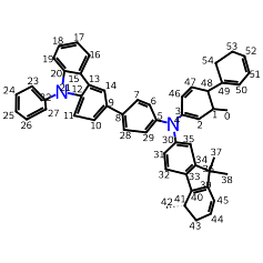 CC1C=C(N(c2ccc(-c3ccc4c(c3)c3ccccc3n4-c3ccccc3)cc2)c2ccc3c(c2)C(C)(C)C2=C3[C@@H](C)CC=C2)C=CC1C1=CC=CCC1